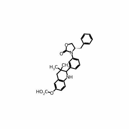 CC1(C)Cc2cc(OC(=O)O)ccc2NC1c1cccc(N2C(=O)OC[C@@H]2Cc2ccccc2)c1